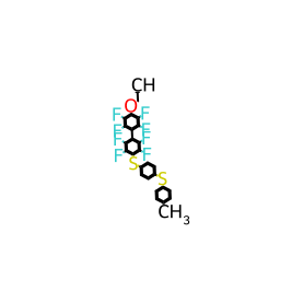 C#CCOc1c(F)c(F)c(-c2c(F)c(F)c(Sc3ccc(Sc4ccc(C)cc4)cc3)c(F)c2F)c(F)c1F